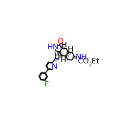 CCOC(=O)N[C@@H]1CC[C@@H]2[C@@H](C1)C[C@H]1C(=O)NC[C@H]1[C@H]2/C=C/c1ccc(-c2cccc(F)c2)cn1